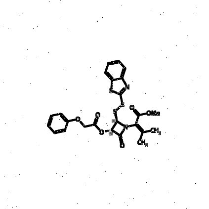 COC(=O)C(=C(C)C)N1C(=O)[C@H](OC(=O)COc2ccccc2)[C@H]1SSc1nc2ccccc2s1